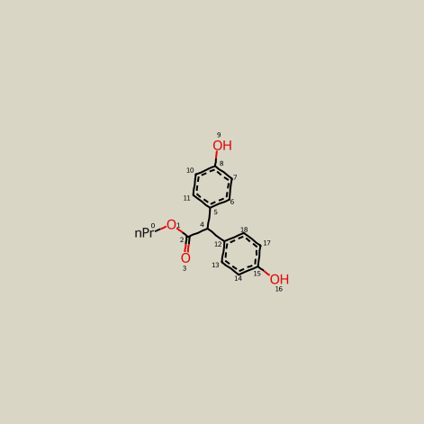 CCCOC(=O)C(c1ccc(O)cc1)c1ccc(O)cc1